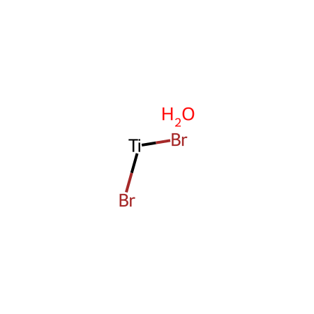 O.[Br][Ti][Br]